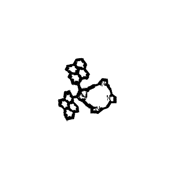 C1=CC2=NC1=CC1=NC(=CC3=NC(=CC4=NC(=C2)C=C4)C(c2ccc4ccc5cccc6ccc2c4c56)=C3c2ccc3ccc4cccc5ccc2c3c45)C=C1